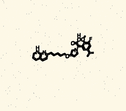 COc1c(F)cc(C(C)C)cc1[C@H](C(=O)O)N1CC[C@@H](OCCCCCc2ccc3c(n2)NCCC3)C1